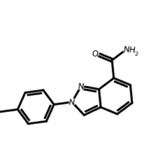 Cc1ccc(-n2cc3cccc(C(N)=O)c3n2)cc1